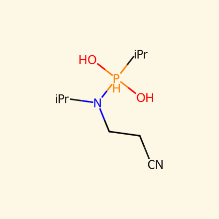 CC(C)N(CCC#N)[PH](O)(O)C(C)C